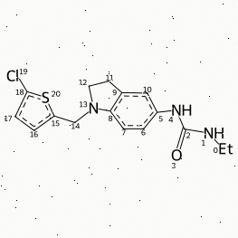 CCNC(=O)Nc1ccc2c(c1)CCN2Cc1ccc(Cl)s1